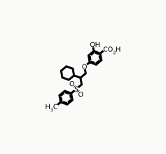 Cc1ccc(S(=O)(=O)CC(COc2ccc(C(=O)O)c(O)c2)C2CCCCC2)cc1